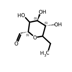 CCC1O[C@H](C=O)C(O)[C@@H](O)[C@@H]1O